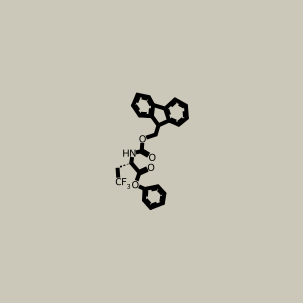 O=C(N[C@@H](CC(F)(F)F)C(=O)Oc1ccccc1)OCC1c2ccccc2-c2ccccc21